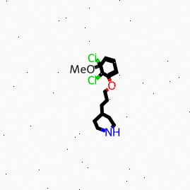 COC1(Cl)C=CC=C(OCCCC2CCNCC2)C1Cl